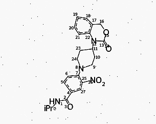 CC(C)NC(=O)c1ccc(N2CCC(N3C(=O)OCc4ccccc43)CC2)c([N+](=O)[O-])c1